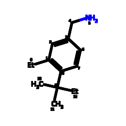 CCc1cc(CN)ccc1C(C)(C)CC